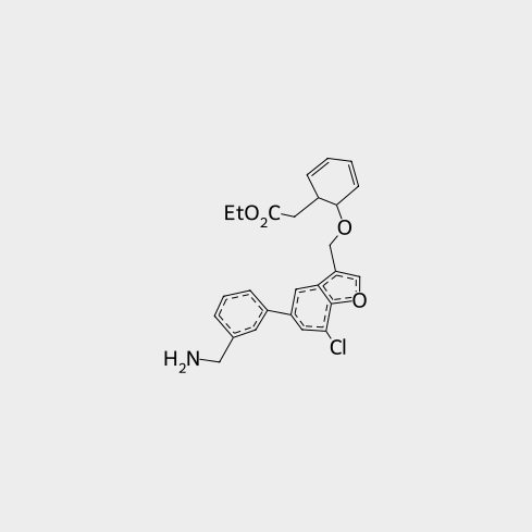 CCOC(=O)CC1C=CC=CC1OCc1coc2c(Cl)cc(-c3cccc(CN)c3)cc12